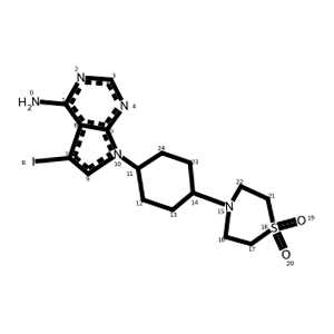 Nc1ncnc2c1c(I)cn2C1CCC(N2CCS(=O)(=O)CC2)CC1